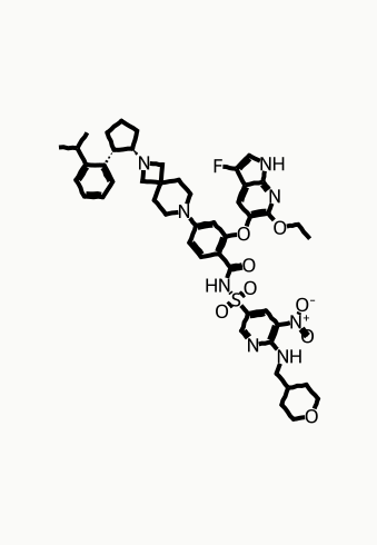 CCOc1nc2[nH]cc(F)c2cc1Oc1cc(N2CCC3(CC2)CN([C@H]2CCC[C@H]2c2ccccc2C(C)C)C3)ccc1C(=O)NS(=O)(=O)c1cnc(NCC2CCOCC2)c([N+](=O)[O-])c1